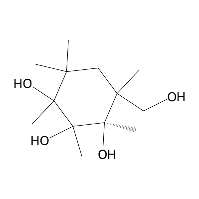 CC1(C)CC(C)(CO)[C@@](C)(O)C(C)(O)C1(C)O